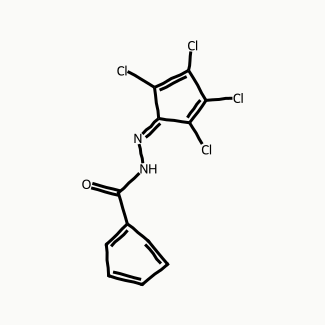 O=C(NN=C1C(Cl)=C(Cl)C(Cl)=C1Cl)c1ccccc1